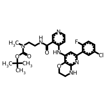 CN(CCNC(=O)c1cnccc1Nc1cc(-c2cc(Cl)ccc2F)nc2c1OCCN2)C(=O)OC(C)(C)C